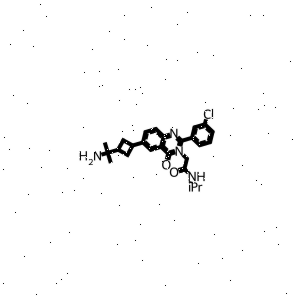 CC(C)NC(=O)Cn1c(-c2cccc(Cl)c2)nc2ccc(C3CC(C(C)(C)N)C3)cc2c1=O